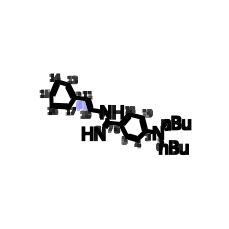 CCCCN(CCCC)c1ccc(C(=N)N/C=C/c2ccccc2)cc1